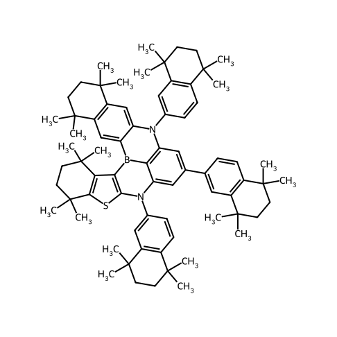 CC1(C)CCC(C)(C)c2cc(-c3cc4c5c(c3)N(c3ccc6c(c3)C(C)(C)CCC6(C)C)c3sc6c(c3B5c3cc5c(cc3N4c3ccc4c(c3)C(C)(C)CCC4(C)C)C(C)(C)CCC5(C)C)C(C)(C)CCC6(C)C)ccc21